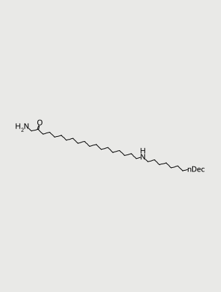 CCCCCCCCCCCCCCCCCNCCCCCCCCCCCCCCCCCC(=O)CN